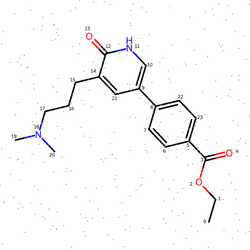 CCOC(=O)c1ccc(-c2c[nH]c(=O)c(CCCN(C)C)c2)cc1